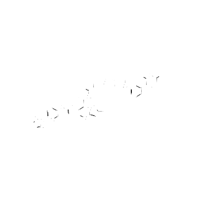 C[C@H](c1c(NC(=O)Nc2cnc(-n3nccn3)c(Cl)c2)cnc2cc(Cl)nn12)N(C)C(=O)C1CCN(CC2CCN(c3cccc(C4CCC(=O)NC4=O)c3)CC2)CC1